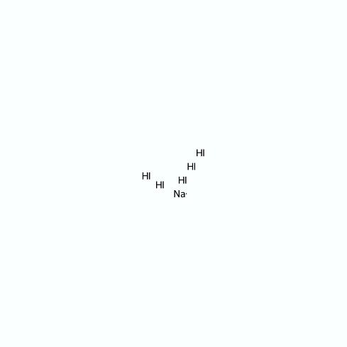 I.I.I.I.I.[Na]